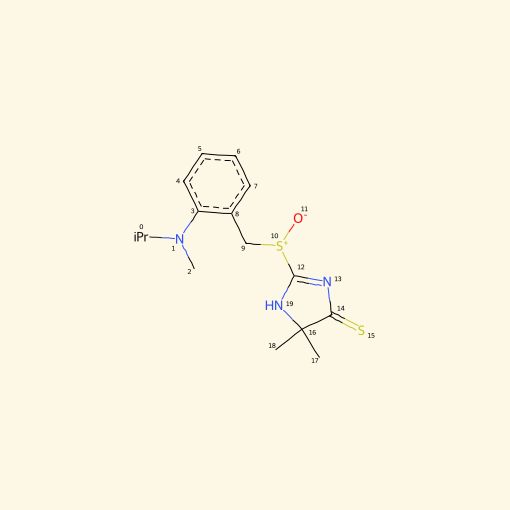 CC(C)N(C)c1ccccc1C[S+]([O-])C1=NC(=S)C(C)(C)N1